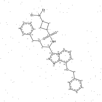 CCN(CC)C1CC(S(=O)(=O)NC(COCc2ccccc2)c2nnc3c(OCc4ccccc4)cccn23)C1